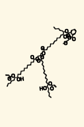 C=CC(=O)OC(CCCCC)C(O)CCCCCCCCCCC(=O)OCC(COC(=O)CCCCCCCCCCC(O)C(CCCCC)OC(=O)c1ccccc1C(=O)OCCOC)OC(=O)CCCCCCCCCCC(OC(=O)C=C)C(O)CCCCC